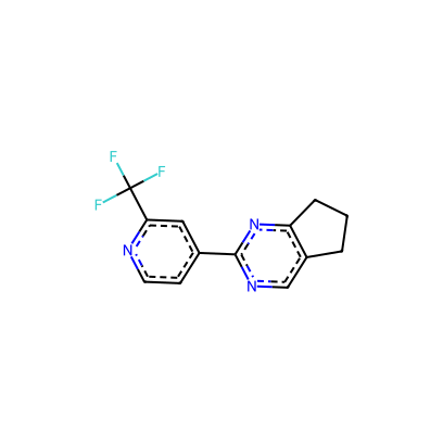 FC(F)(F)c1cc(-c2ncc3c(n2)CCC3)ccn1